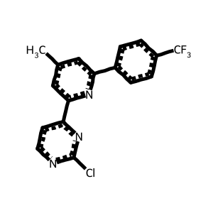 Cc1cc(-c2ccc(C(F)(F)F)cc2)nc(-c2ccnc(Cl)n2)c1